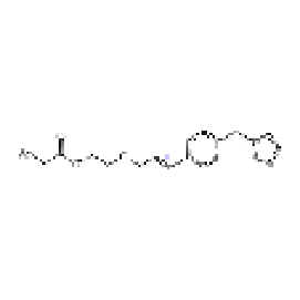 CC(=O)CC(=O)OCCOC/C=C/c1ccc(Cn2ccnc2)cc1